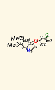 COc1cc2nccc(Oc3ccc(C)c(Cl)c3)c2cc1OC